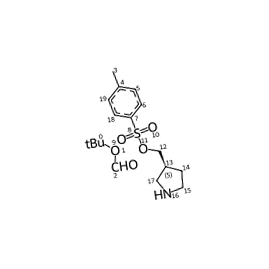 CC(C)(C)OC=O.Cc1ccc(S(=O)(=O)OC[C@H]2CCNC2)cc1